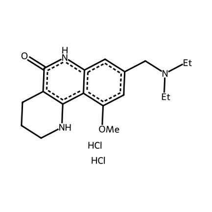 CCN(CC)Cc1cc(OC)c2c3c(c(=O)[nH]c2c1)CCCN3.Cl.Cl